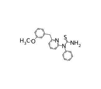 COc1cccc(Cc2cccc(N(C(N)=S)c3ccccc3)n2)c1